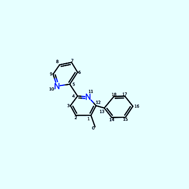 Cc1ccc(-c2ccccn2)nc1-c1ccccc1